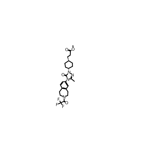 COC(=O)CC[C@H]1CC[C@H](n2nc(C)n(-c3ccc4c(c3)CCN(C(=O)C(F)(F)F)CC4)c2=O)CC1